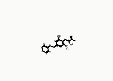 C=C(C)C(O)Cc1c(O)cc(CCc2ccccc2)cc1O